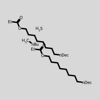 CCCCC.CCCCCCCCCCCCCCCCCCOC(=O)CC.CCCCCCCCCCCCCCCCCCOC(=O)CC.S